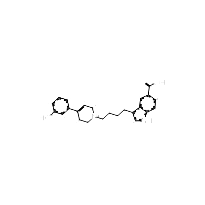 O=C(O)c1ccc2[nH]cc(CCCCN3CC=C(c4cccc(O)c4)CC3)c2c1